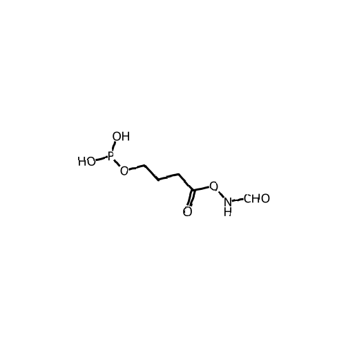 O=CNOC(=O)CCCOP(O)O